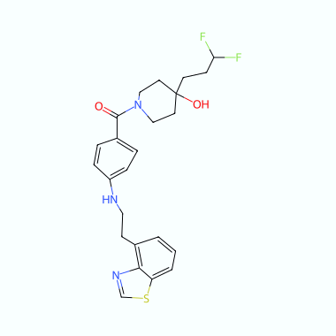 O=C(c1ccc(NCCc2cccc3scnc23)cc1)N1CCC(O)(CCC(F)F)CC1